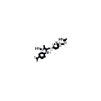 CC(=N)/N=C\Nc1ccc(OC/C(Nc2ccc(C(F)F)cc2)=C(\C)N=N)nn1